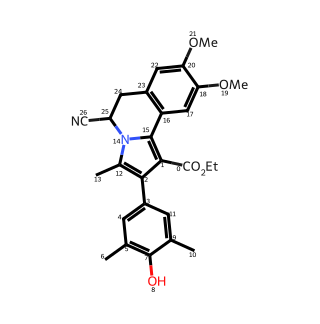 CCOC(=O)c1c(-c2cc(C)c(O)c(C)c2)c(C)n2c1-c1cc(OC)c(OC)cc1CC2C#N